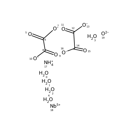 O.O.O.O.O.O=C([O-])C(=O)[O-].O=C([O-])C(=O)[O-].[NH4+].[Nb+5].[O-2]